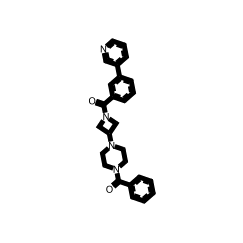 O=C(c1ccccc1)N1CCN(C2CN(C(=O)c3cccc(-c4cccnc4)c3)C2)CC1